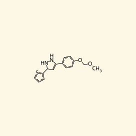 COCOc1ccc(C2=CC(c3cccs3)NN2)cc1